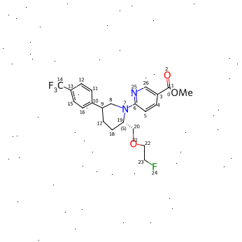 COC(=O)c1ccc(N2CC(c3ccc(C(F)(F)F)cc3)CC[C@H]2COCCF)nc1